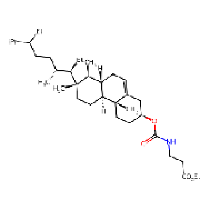 CCOC(=O)CCNC(=O)O[C@H]1CC[C@@]2(C)C(=CC[C@H]3[C@H](C)[C@@](C)([C@H](CC)[C@H](C)CCC(CC)C(C)C)CC[C@@H]32)C1